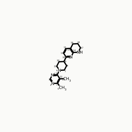 Cc1ncnc(N2CCC(c3ccc4c(n3)NCCC4)CC2)c1C